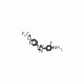 Nc1ccc(-c2ncn(-c3ccc(OCC(F)(F)F)nc3)n2)cc1F